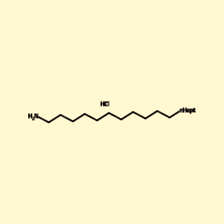 CCCCCCCCCCCCCCCCCCN.Cl